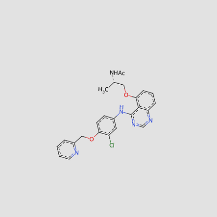 CC(=O)N[C@@H](C)COc1cccc2ncnc(Nc3ccc(OCc4ccccn4)c(Cl)c3)c12